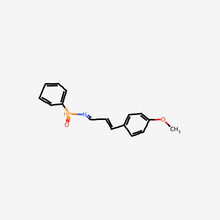 COc1ccc(/C=C/C=N[PH](=O)c2ccccc2)cc1